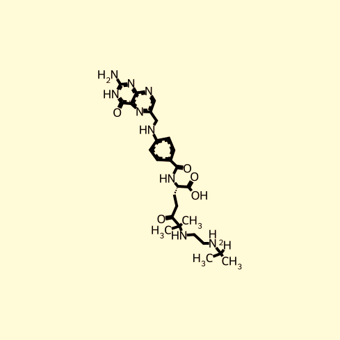 [2H]C(C)(C)NCCNC(C)(C)C(=O)CC[C@H](NC(=O)c1ccc(NCc2cnc3nc(N)[nH]c(=O)c3n2)cc1)C(=O)O